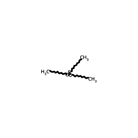 CCCCCCCCCCOP(OCCCCCCCCCC)SCCCCCCCCCC